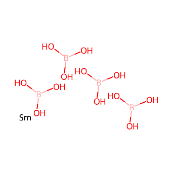 OB(O)O.OB(O)O.OB(O)O.OB(O)O.[Sm]